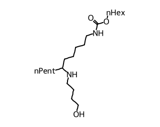 CCCCCCOC(=O)NCCCCCC(CCCCC)NCCCCO